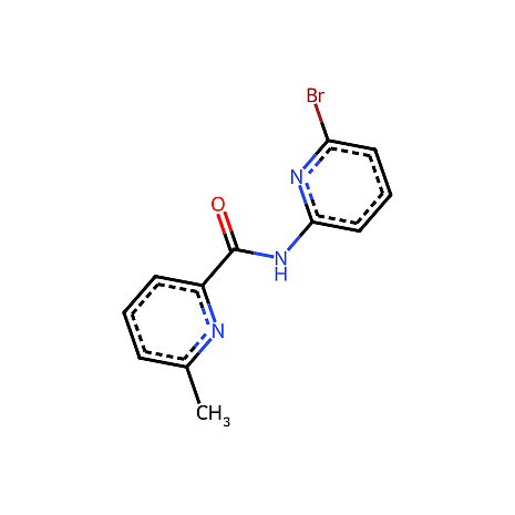 Cc1cccc(C(=O)Nc2cccc(Br)n2)n1